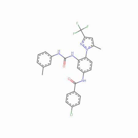 Cc1cccc(NC(=O)Nc2cc(NC(=O)c3ccc(Cl)cc3)ccc2-n2nc(C(F)(F)F)cc2C)c1